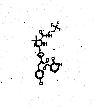 CC1(C)N=C(C23CC(N(Cc4ccc(Cl)cc4)S(=O)(=O)c4ccc[nH]c4=O)(C2)C3)N[C@H]1C(=O)NCCC(F)(F)F